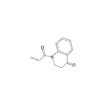 C=CC(=O)N1CCC(=O)c2ccccc21